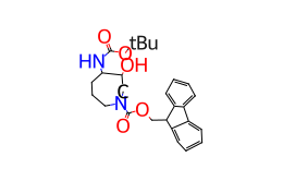 CC(C)(C)OC(=O)NC1CCCN(C(=O)OCC2c3ccccc3-c3ccccc32)CC1O